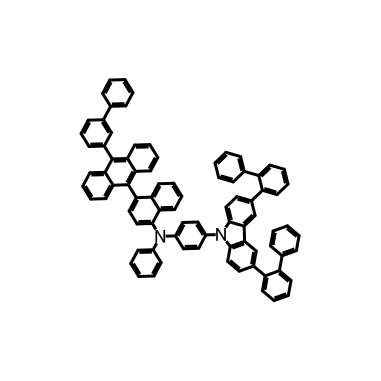 c1ccc(-c2cccc(-c3c4ccccc4c(-c4ccc(N(c5ccccc5)c5ccc(-n6c7ccc(-c8ccccc8-c8ccccc8)cc7c7cc(-c8ccccc8-c8ccccc8)ccc76)cc5)c5ccccc45)c4ccccc34)c2)cc1